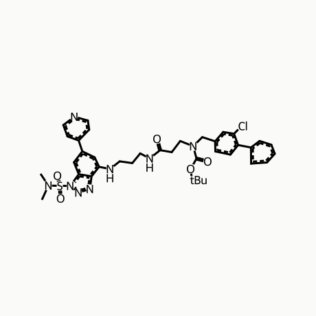 CN(C)S(=O)(=O)n1nnc2c(NCCCNC(=O)CCN(Cc3ccc(-c4ccccc4)c(Cl)c3)C(=O)OC(C)(C)C)cc(-c3ccncc3)cc21